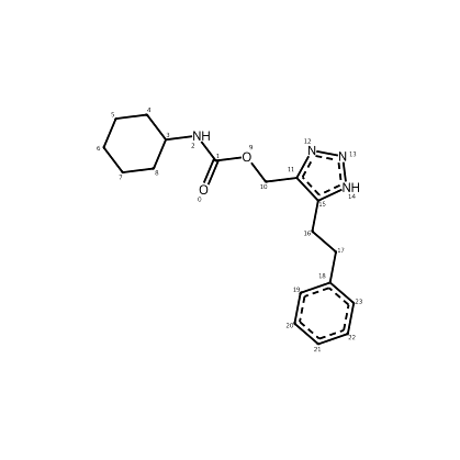 O=C(NC1CCCCC1)OCc1nn[nH]c1CCc1ccccc1